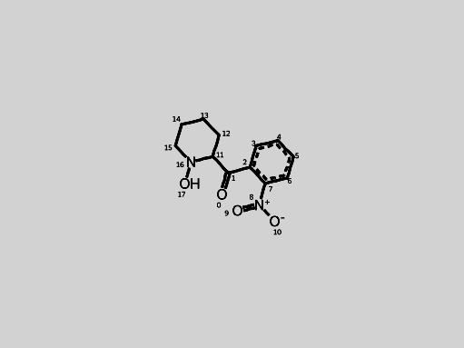 O=C(c1ccccc1[N+](=O)[O-])C1CCCCN1O